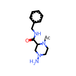 CC(=O)N1CCN(N)CC1C(=O)NCc1ccccc1